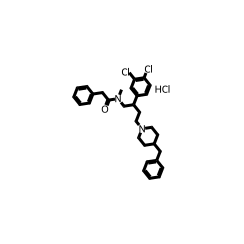 CN(CC(CCN1CCC(Cc2ccccc2)CC1)c1ccc(Cl)c(Cl)c1)C(=O)Cc1ccccc1.Cl